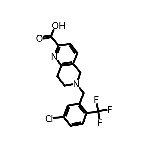 O=C(O)c1ccc2c(n1)CCN(Cc1cc(Cl)ccc1C(F)(F)F)C2